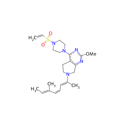 C=CS(=O)(=O)N1CCN(c2nc(OC)nc3c2CCN(/C(C)=C/C=C\C(C)=C\C)C3)CC1